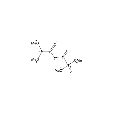 CON(OC)C(=O)CC(=O)[N+](C)(OC)OC